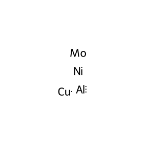 [Al].[Cu].[Mo].[Ni]